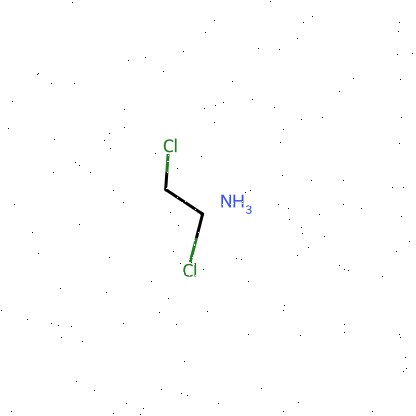 ClCCCl.N